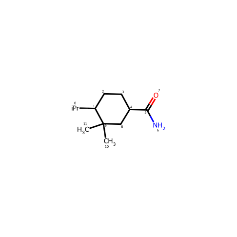 CC(C)C1CCC(C(N)=O)CC1(C)C